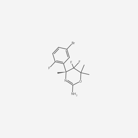 CC1(C)OC(N)=N[C@](C)(c2cc(Br)ccc2F)C1(F)F